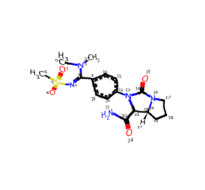 CN(C)C(=NS(C)(=O)=O)c1ccc(N2C(=O)N3CC[CH][C@@H]3C2C(N)=O)cc1